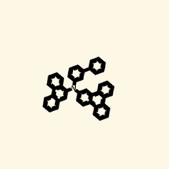 c1ccc(-c2cccc(N(c3ccc4c5ccccc5c5ccccc5c4c3)c3cc4ccccc4c4ccccc34)c2)cc1